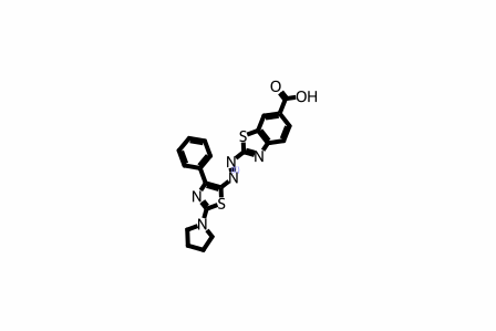 O=C(O)c1ccc2nc(/N=N/c3sc(N4CCCC4)nc3-c3ccccc3)sc2c1